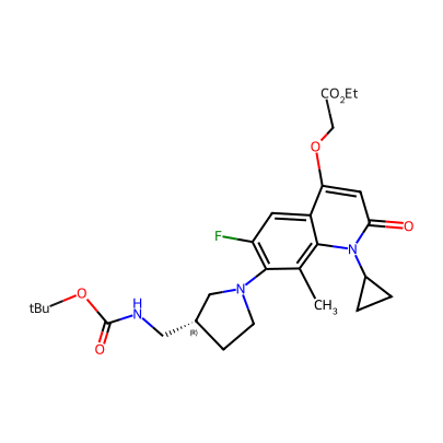 CCOC(=O)COc1cc(=O)n(C2CC2)c2c(C)c(N3CC[C@H](CNC(=O)OC(C)(C)C)C3)c(F)cc12